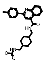 Cc1ccc(-c2cc(C(=O)NCC3CCC(CNC(=O)O)CC3)c3ccccc3n2)cc1